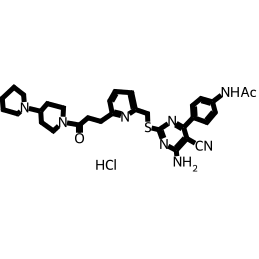 CC(=O)Nc1ccc(-c2nc(SCc3cccc(CCC(=O)N4CCC(N5CCCCC5)CC4)n3)nc(N)c2C#N)cc1.Cl